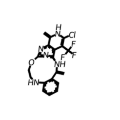 C=C1Nc2nc(nc3c2C(C(F)(F)F)=C(Cl)NC3=C)OCCNc2ccccc21